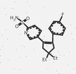 CCC1(CC)CC(c2ccc(F)cc2)=C(c2ccc(S(N)(=O)=O)nc2)C1